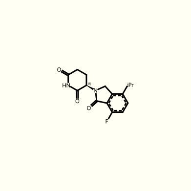 CC(C)c1ccc(F)c2c1CN([C@@H]1CCC(=O)NC1=O)C2=O